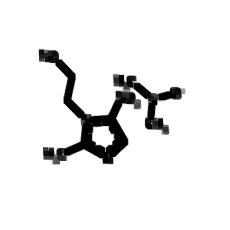 C[S+](C)[O-].Cc1ncc([N+](=O)[O-])n1CCO